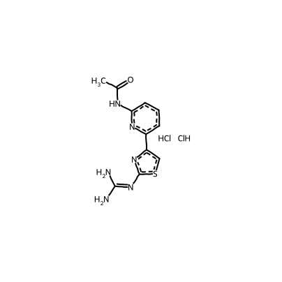 CC(=O)Nc1cccc(-c2csc(N=C(N)N)n2)n1.Cl.Cl